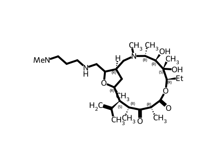 C=C(C)[C@@H]1[C@@H](C)C(=O)[C@@H](C)C(=O)O[C@H](CC)[C@@](C)(O)[C@H](O)[C@@H](C)N(C)C[C@H]2C[C@@]1(C)OC2CNCCCNC